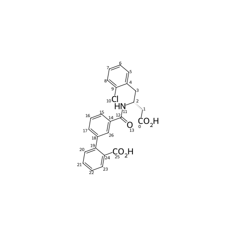 O=C(O)C[C@@H](Cc1ccccc1Cl)NC(=O)c1cccc(-c2ccccc2C(=O)O)c1